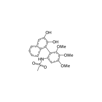 COc1cc(NS(C)(=O)=O)c(-c2c(O)c(O)cc3ccccc23)c(OC)c1OC